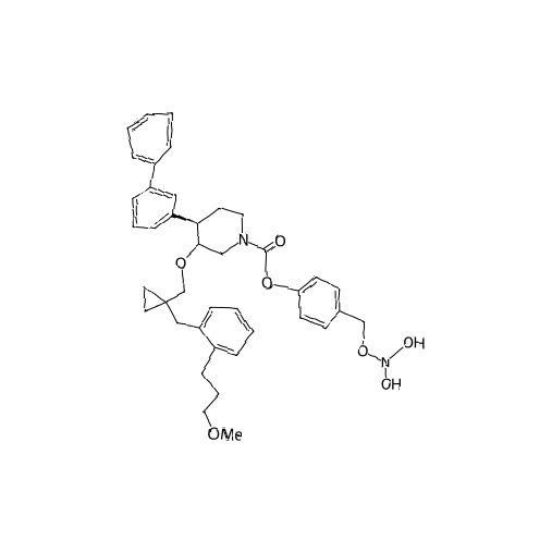 COCCCc1ccccc1CC1(COC2CN(C(=O)Oc3ccc(CON(O)O)cc3)CC[C@@H]2c2cccc(-c3ccccc3)c2)CC1